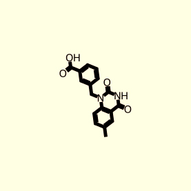 Cc1ccc2c(c1)c(=O)[nH]c(=O)n2Cc1cccc(C(=O)O)c1